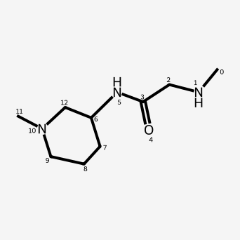 CNCC(=O)NC1CCCN(C)C1